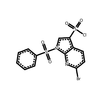 O=S(=O)(Cl)c1cn(S(=O)(=O)c2ccccc2)c2nc(Br)ccc12